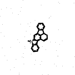 Cn1c2ccccc2c2c3c4c(cc21)-c1ccccc1C4CC=C3